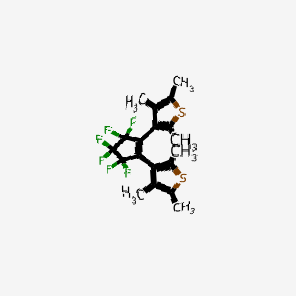 Cc1sc(C)c(C2=C(c3c(C)sc(C)c3C)C(F)(F)C(F)(F)C2(F)F)c1C